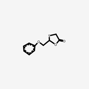 O=C1CSC(COc2ccccc2)O1